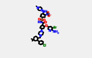 CN1CCN(Nc2ccc(S(=O)(=O)NC(=O)c3ccc(N4CCN(CC5=C(c6ccc(Cl)cc6)CC(C)(C)CC5)CC4)cc3Oc3cnc(N)c(Br)c3)cc2[N+](=O)[O-])CC1